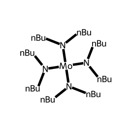 CCCC[N](CCCC)[Mo]([N](CCCC)CCCC)([N](CCCC)CCCC)[N](CCCC)CCCC